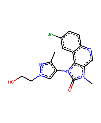 Cc1nn(CCO)cc1-n1c(=O)n(C)c2cnc3ccc(Br)cc3c21